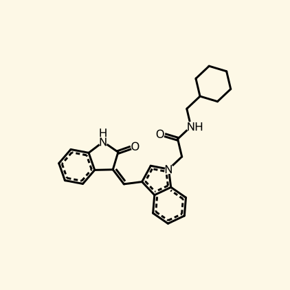 O=C(Cn1cc(/C=C2\C(=O)Nc3ccccc32)c2ccccc21)NCC1CCCCC1